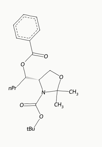 CCCC(OC(=O)c1ccccc1)[C@@H]1COC(C)(C)N1C(=O)OC(C)(C)C